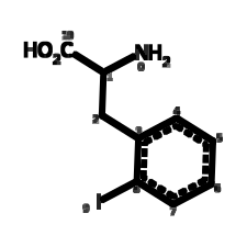 NC(Cc1ccccc1I)C(=O)O